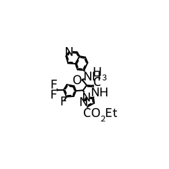 CCOC(=O)c1cc2n(n1)C(c1ccc(C(F)F)c(F)c1)C(C(=O)Nc1ccc3cnccc3c1)=C(C)N2